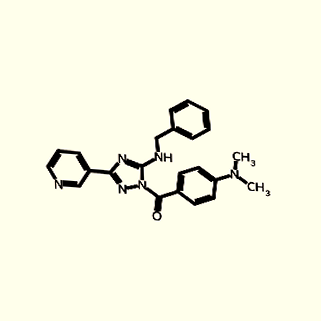 CN(C)c1ccc(C(=O)n2nc(-c3cccnc3)nc2NCc2ccccc2)cc1